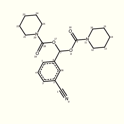 N#Cc1cccc(C(OC(=O)N2CCCCC2)OC(=O)N2CCCCC2)c1